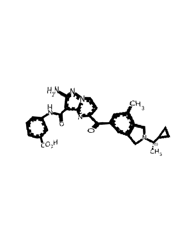 Cc1cc(C(=O)c2ccn3nc(N)c(C(=O)Nc4cccc(C(=O)O)c4)c3n2)cc2c1CN([C@@H](C)C1CC1)C2